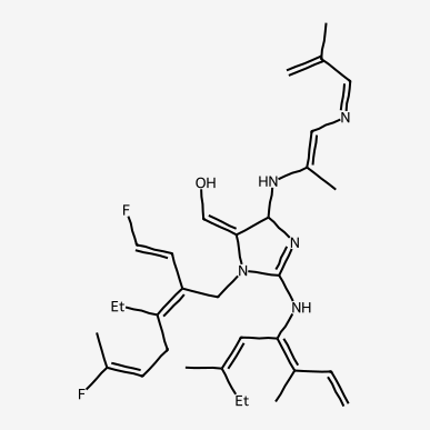 C=C/C(C)=C(/C=C(/C)CC)NC1=NC(N/C(C)=C/N=C\C(=C)C)/C(=C\O)N1CC(/C=C/F)=C(/CC)C/C=C(\C)F